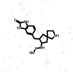 CC(C)(C)SNC1CC2(CCNC2)CC1Cc1ccc2[nH]c(=O)[nH]c2c1